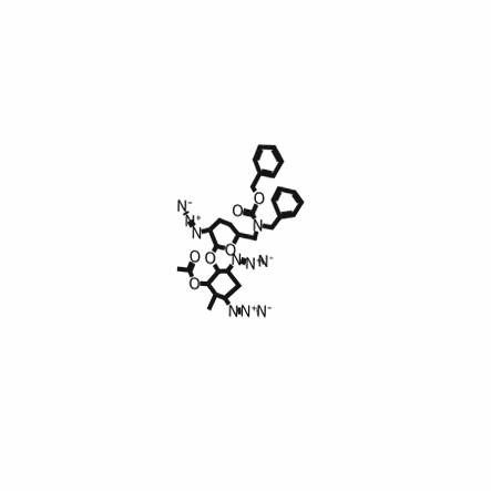 CC(=O)OC1C(C)C(N=[N+]=[N-])CC(N=[N+]=[N-])C1OC1OC(CN(Cc2ccccc2)C(=O)OCc2ccccc2)CCC1N=[N+]=[N-]